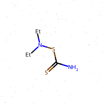 CCN(CC)SC(N)=S